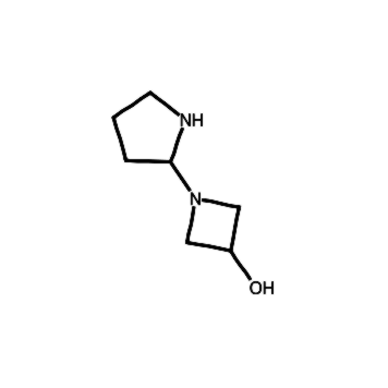 OC1CN(C2CCCN2)C1